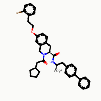 O=C(O)[C@H](Cc1ccc(-c2ccccc2)cc1)NC(=O)[C@@H]1Cc2ccc(OCCc3ccccc3Br)cc2CN1C(=O)CC1CCCC1